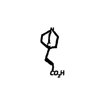 O=C(O)/C=C/C12CCN(CC1)CC2